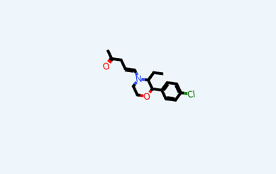 CCC1C(c2ccc(Cl)cc2)OCCN1C=CCC(C)=O